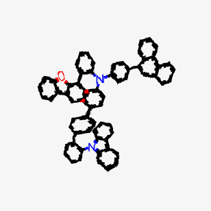 c1ccc(N(c2ccc(-c3ccc(-c4ccccc4-n4c5ccccc5c5ccccc54)cc3)cc2)c2ccc(-c3cc4ccccc4c4ccccc34)cc2)c(-c2cccc3c2oc2ccccc23)c1